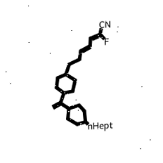 C=C(C1CCC(CCC=CC=C(F)C#N)CC1)C1CCC(CCCCCCC)CC1